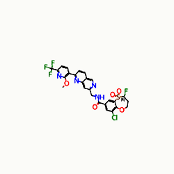 COc1nc(C(F)(F)F)ccc1-c1ccc2cnc(CNC(=O)c3cc(Cl)c4c(c3)S(=O)(=O)[C@@H](F)CCO4)cc2n1